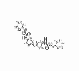 O=C(Nc1ccc(Cc2ccc(NC(=O)OCC3CCCCC3)cc2)cc1)OCC1CCCCC1